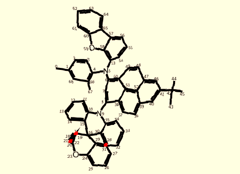 Cc1ccc(N(c2cc(N3c4ccccc4C4(c5ccccc5Oc5ccccc54)c4ccccc43)c3ccc4cc(C(C)(C)C)cc5ccc2c3c45)c2cccc3c2oc2ccccc23)c(C)c1